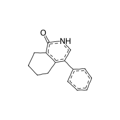 O=c1[nH]cc(-c2ccccc2)c2c1CCCC2